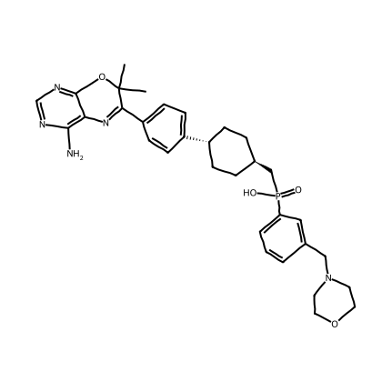 CC1(C)Oc2ncnc(N)c2N=C1c1ccc([C@H]2CC[C@H](CP(=O)(O)c3cccc(CN4CCOCC4)c3)CC2)cc1